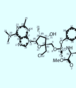 COC(=O)[C@H](C)N[P@](=S)(OC[C@@]1(CCl)O[C@@H](n2cnc3c(N(C)C)nc(C)nc32)[C@H](F)[C@@H]1O)Oc1ccccc1